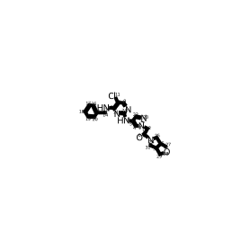 O=C(Cn1cc(Nc2ncc(Cl)c(NCc3ccccc3)n2)cn1)N1CC2COCC2C1